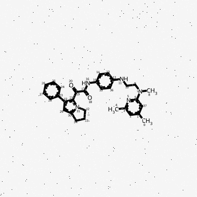 Cc1cc(C)nc(N(C)CCNc2ccc(NC(=O)C(=O)c3c(-c4ccccc4)cc4n3CCC4)cc2)c1